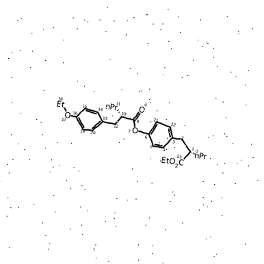 CCC[C@@H](Cc1ccc(OC(=O)[C@@H](CCC)Cc2ccc(OCC)cc2)cc1)C(=O)OCC